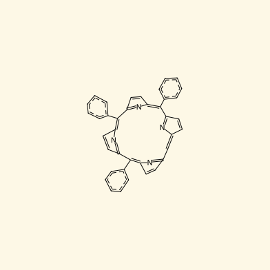 C1=CC2=NC1=CC1=NC(=C(c3ccccc3)C3=NC(=C(c4ccccc4)C4=NC(=C2c2ccccc2)C=C4)C=C3)C=C1